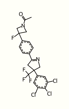 CC(=O)N1CC(F)(c2ccc(C3=NCC(c4cc(Cl)c(Cl)c(Cl)c4)(C(F)(F)F)C3)cc2)C1